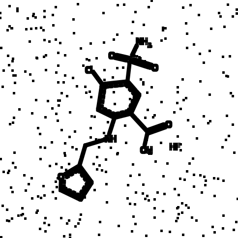 F.NS(=O)(=O)c1cc(C(=O)O)c(NCc2ccco2)cc1Cl